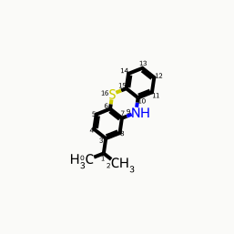 CC(C)c1ccc2c(c1)Nc1ccccc1S2